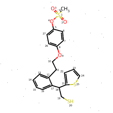 CS(=O)(=O)Oc1ccc(OCCc2ccccc2C(CS)c2cccs2)cc1